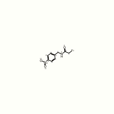 O=C(CF)NCc1ccc([N+](=O)[O-])cc1